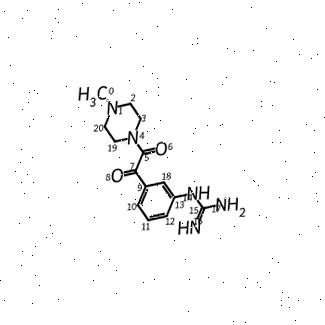 CN1CCN(C(=O)C(=O)c2cccc(NC(=N)N)c2)CC1